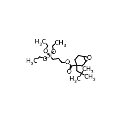 CCO[Si](CCCOC(=O)C1(CC(C)(C)C)CCC2OC2C1)(OCC)OCC